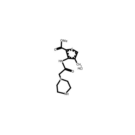 COC(=O)c1scc(C)c1NC(=O)CN1CCNCC1.Cl